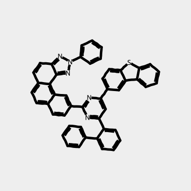 c1ccc(-c2ccccc2-c2cc(-c3ccc4sc5ccccc5c4c3)nc(-c3ccc4ccc5ccc6nn(-c7ccccc7)nc6c5c4c3)n2)cc1